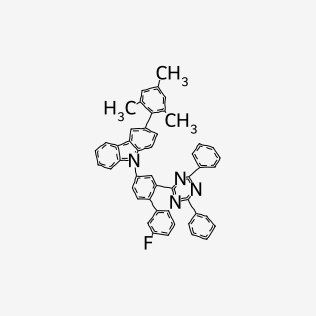 Cc1cc(C)c(-c2ccc3c(c2)c2ccccc2n3-c2ccc(-c3cccc(F)c3)c(-c3nc(-c4ccccc4)nc(-c4ccccc4)n3)c2)c(C)c1